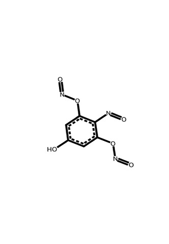 O=NOc1cc(O)cc(ON=O)c1N=O